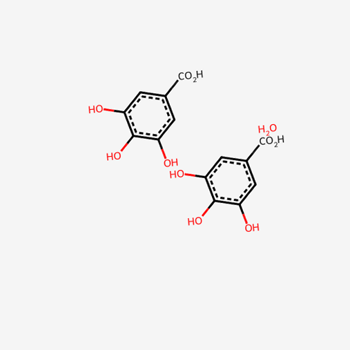 O.O=C(O)c1cc(O)c(O)c(O)c1.O=C(O)c1cc(O)c(O)c(O)c1